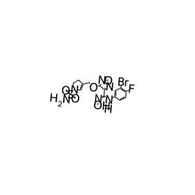 NS(=O)(=O)N1C=C(COc2nonc2/C(=N/O)Nc2ccc(F)c(Br)c2)CC1